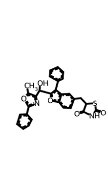 Cc1oc(-c2ccccc2)nc1C(O)c1oc2ccc(CC3SC(=O)NC3=O)cc2c1-c1ccccc1